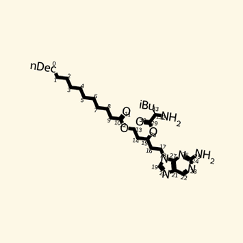 CCCCCCCCCCCCCCCCCCCC(=O)OCCC(CCn1cnc2cnc(N)nc21)OC(=O)[C@@H](N)C(C)CC